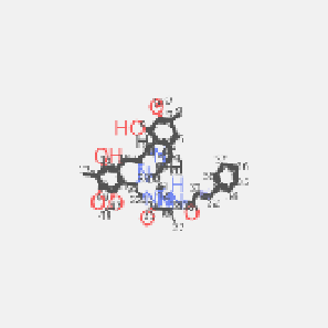 COc1c(C)cc2c(c1O)[C@H]1C3Cc4c(O)c(C)c5c(c4[C@H](CNC(=O)[C@H](C)NC(=O)/C=C/c4ccccc4)N3[C@@H](C#N)[C@H](C2)N1C)OCO5